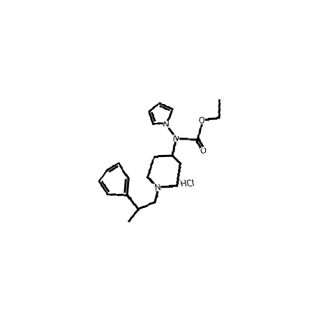 CCOC(=O)N(C1CCN(CC(C)c2ccccc2)CC1)n1cccc1.Cl